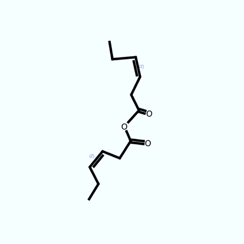 CC/C=C\CC(=O)OC(=O)C/C=C\CC